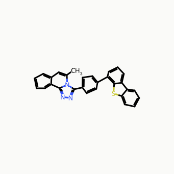 Cc1cc2ccccc2c2nnc(-c3ccc(-c4cccc5c4sc4ccccc45)cc3)n12